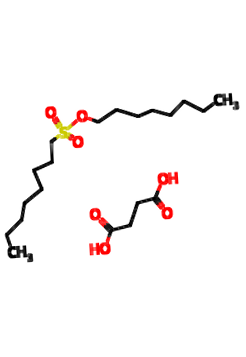 CCCCCCCCOS(=O)(=O)CCCCCCCC.O=C(O)CCC(=O)O